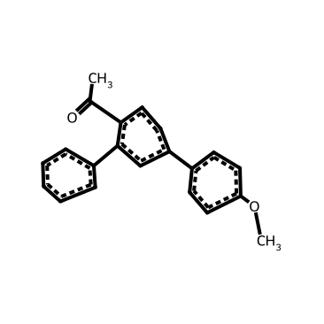 COc1ccc(-c2ccc(C(C)=O)c(-c3ccccc3)c2)cc1